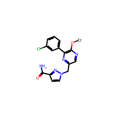 CCOc1ncc(Cn2ccc(C(N)=O)n2)nc1-c1cccc(Cl)c1